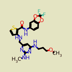 CNc1nc(CNc2ccsc2C(=O)Nc2ccc3c(c2)OC(F)(F)O3)cc(NCCCOC)n1